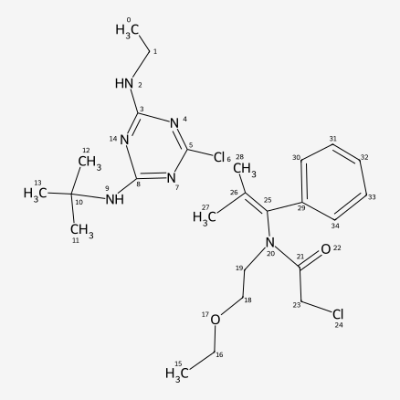 CCNc1nc(Cl)nc(NC(C)(C)C)n1.CCOCCN(C(=O)CCl)C(=C(C)C)c1ccccc1